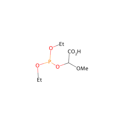 CCOP(OCC)OC(OC)C(=O)O